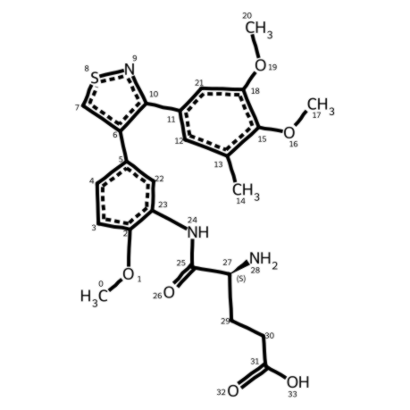 COc1ccc(-c2csnc2-c2cc(C)c(OC)c(OC)c2)cc1NC(=O)[C@@H](N)CCC(=O)O